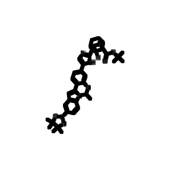 CC1Oc2cc(-c3cnc([C@@H]4C5CCC(CC5)N4C(=O)OC(C)(C)C)[nH]3)ccc2-c2cc3cc(B4OC(C)(C)C(C)(C)O4)ccc3n21